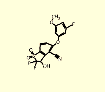 COc1cc(F)cc(Oc2ccc3c(c2C#N)C(O)C(F)(F)S3(=O)=O)c1